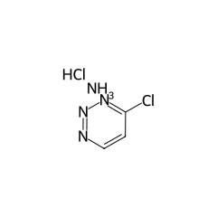 Cl.Clc1ccnnn1.N